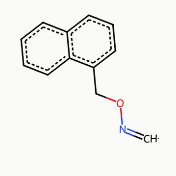 [CH]=NOCc1cccc2ccccc12